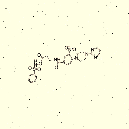 O=C(CCNC(=O)c1ccc(N2CCN(c3ncccn3)CC2)c([N+](=O)[O-])c1)ONS(=O)(=O)c1ccccc1